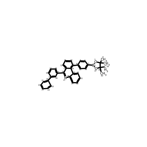 CC1(C)OB(c2ccc(-c3cccc4c(-c5cccc(-c6ccccc6)c5)nc5ccccc5c34)cc2)OC1(C)C